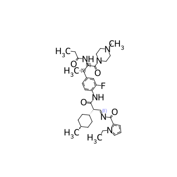 CCC(=O)N[C@@H](C(=O)N1CCN(C)CC1)[C@@H](C)c1ccc(NC(=O)C(/C=N/C(=O)c2cccn2CC)[C@H]2CC[C@H](C)CC2)c(F)c1